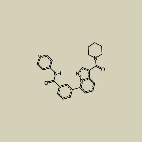 O=C(Nc1ccncc1)c1cccc(-c2cccc3c(C(=O)N4CCCCC4)cnn23)c1